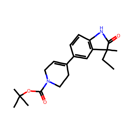 CCC1(C)C(=O)Nc2ccc(C3=CCN(C(=O)OC(C)(C)C)CC3)cc21